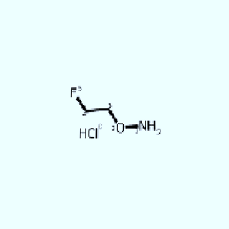 Cl.NOCCF